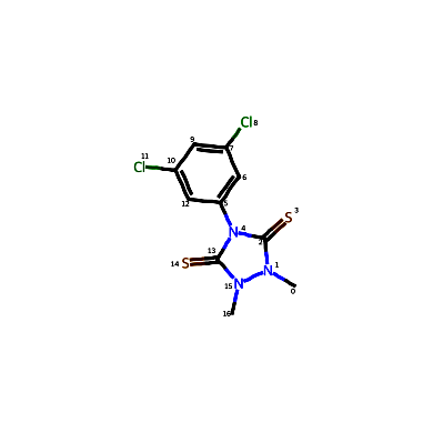 Cn1c(=S)n(-c2cc(Cl)cc(Cl)c2)c(=S)n1C